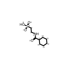 O=C(NCCS(=O)(=O)O)C1CCCCC1